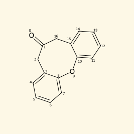 O=C1Cc2ccccc2Oc2ccccc2C1